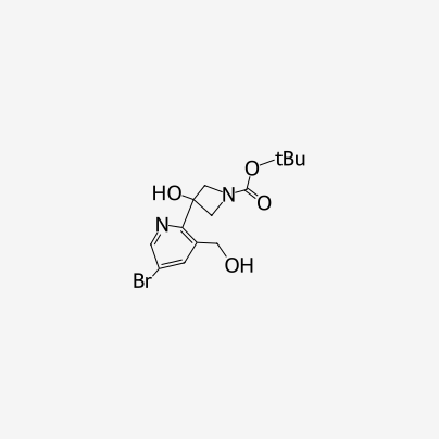 CC(C)(C)OC(=O)N1CC(O)(c2ncc(Br)cc2CO)C1